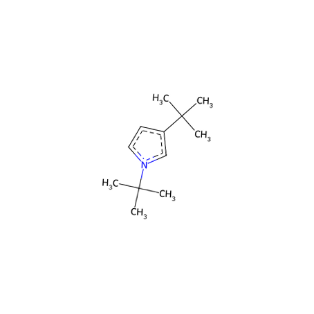 CC(C)(C)c1ccn(C(C)(C)C)c1